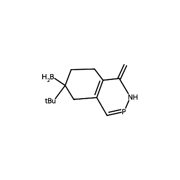 BC1(C(C)(C)C)CCC2=C(C=PNC2=C)C1